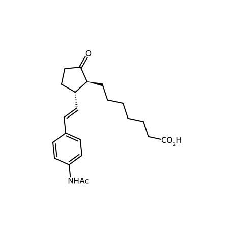 CC(=O)Nc1ccc(C=C[C@@H]2CCC(=O)[C@H]2CCCCCCC(=O)O)cc1